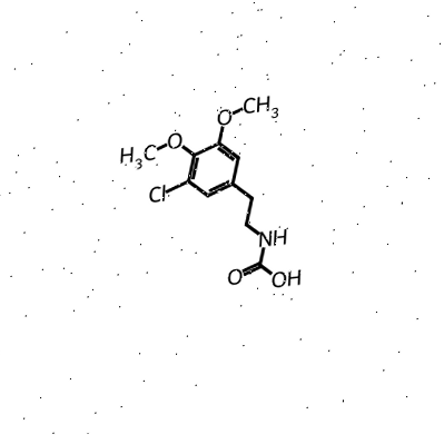 COc1cc(CCNC(=O)O)cc(Cl)c1OC